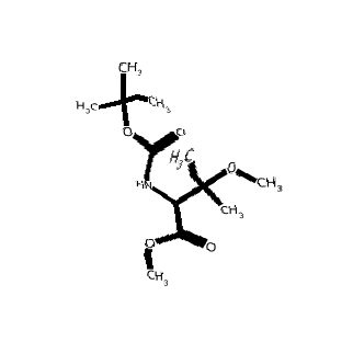 COC(=O)C(NC(=O)OC(C)(C)C)C(C)(C)OC